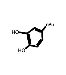 CCCCc1ccc(O)c(O)c1